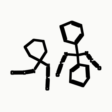 O=C=NC(N=C=O)(c1ccccc1)c1ccccc1.O=C=NC1(N=C=O)CCCCC1